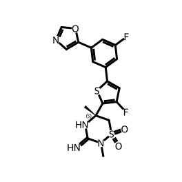 CN1C(=N)N[C@](C)(c2sc(-c3cc(F)cc(-c4cnco4)c3)cc2F)CS1(=O)=O